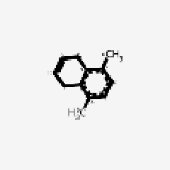 Cc1ccc(C)c2c1[CH]C=CC2